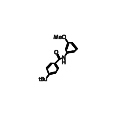 COc1cccc(NC(=O)c2ccc(C(C)(C)C)cc2)c1